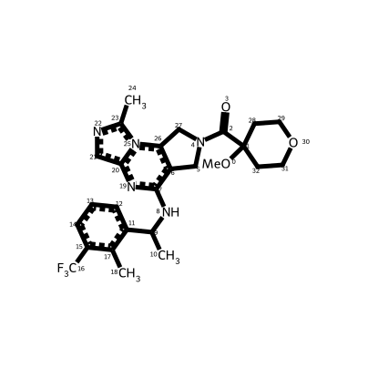 COC1(C(=O)N2Cc3c(NC(C)c4cccc(C(F)(F)F)c4C)nc4cnc(C)n4c3C2)CCOCC1